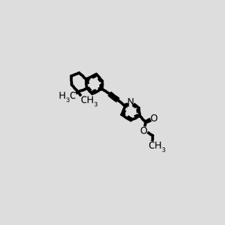 CCOC(=O)c1ccc(C#Cc2ccc3c(c2)C(C)(C)CCC3)nc1